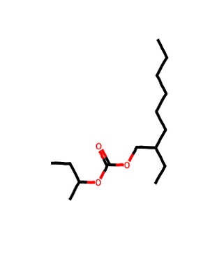 CCCCCCC(CC)COC(=O)OC(C)CC